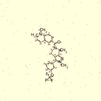 C=Nc1ccc(C(=O)N2CCc3c(nn(C)c3-c3cccc(OC(F)(F)F)c3)[C@@H]2C)cc1/C=C\C